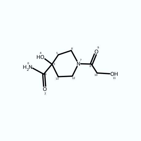 NC(=O)C1(O)CCN(C(=O)CO)CC1